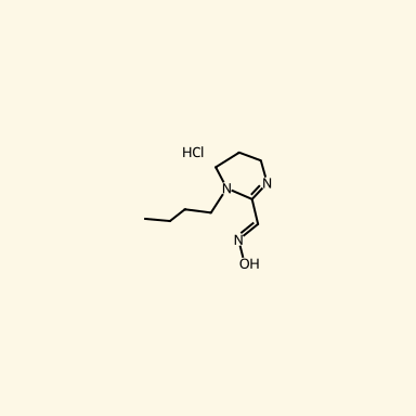 CCCCN1CCCN=C1/C=N/O.Cl